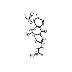 COC1Nc2c(ccc(C)c2OC(C)=O)C(=O)N2C=C(C=CC(N)=O)CC12